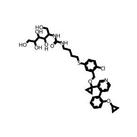 O=C(NCCCCSc1ccc(Cl)c(COC2(c3cnccc3-c3ccccc3OC3CC3)CC2)c1)NC(CO)C(O)C(O)C(O)CO